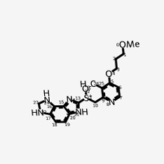 COCCCOc1ccnc(C[S+]([O-])c2nc3c4c(ccc3[nH]2)NCN4)c1C